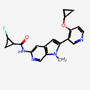 Cn1c(-c2cnccc2OC2CC2)cc2cc(NC(=O)C3CC3F)ncc21